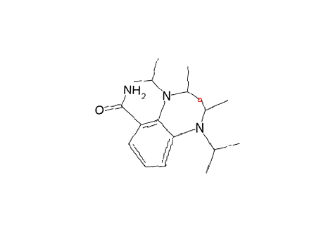 CC(C)N(c1cccc(C(N)=O)c1N(C(C)C)C(C)C)C(C)C